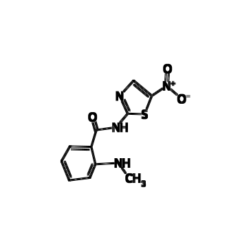 CNc1ccccc1C(=O)Nc1ncc([N+](=O)[O-])s1